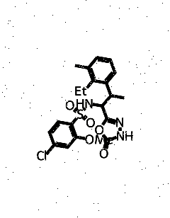 CCc1c(C)cccc1C(C)C(NS(=O)(=O)c1ccc(Cl)cc1OC)c1n[nH]c(=O)o1